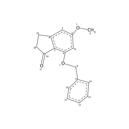 COc1cc2c(c(OCc3ccccc3)c1)C(=O)CC2